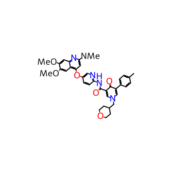 CNc1cc(Oc2ccc(NC(=O)c3cn(CC4CCOCC4)cc(-c4ccc(C)cc4)c3=O)nc2)c2cc(OC)c(OC)cc2n1